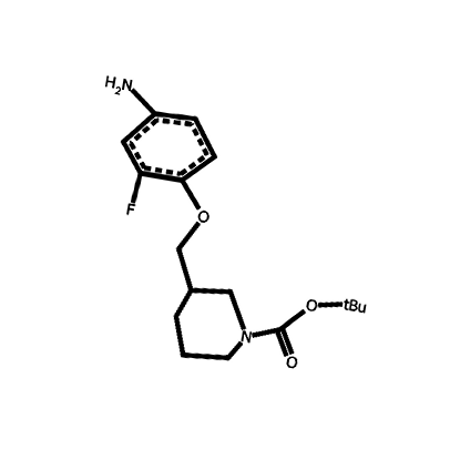 CC(C)(C)OC(=O)N1CCCC(COc2ccc(N)cc2F)C1